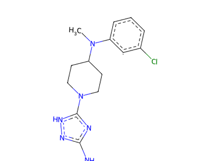 CN(c1[c]c(Cl)ccc1)C1CCN(c2nc(N)n[nH]2)CC1